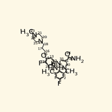 Cc1cc(F)cc(C)c1C1(Nc2ccc(OCCCN3CCN(C)CC3)c(F)c2)N=CC(C(N)=O)=CN1